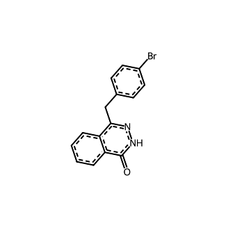 O=c1[nH]nc(Cc2ccc(Br)cc2)c2ccccc12